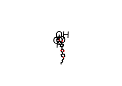 C=C(CO)C(=O)OCC(COC)c1ccc(C2=CCC(C3CCC(CCCCC)CC3)CC2)cc1F